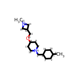 CC1CCC(CN2CCC(OCC3CN(C)C3)CC2)CC1